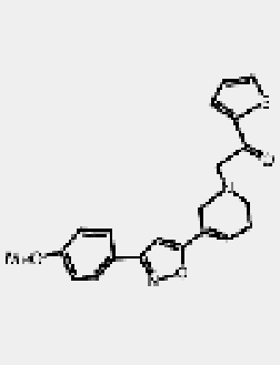 COc1ccc(-c2cc(C3=CCCN(CC(=O)c4cccs4)C3)on2)cc1